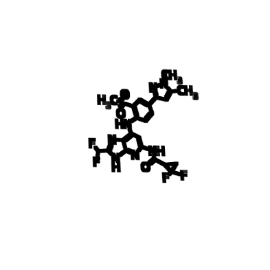 Cc1cc(-c2ccc(Nc3cc(NC(=O)C4CC4(F)F)nc4[nH]c(C(F)F)nc34)c(S(C)(=O)=O)c2)nn1C